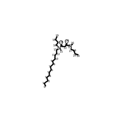 CCCCCCCCCCCCCC[N+](C)(CCCC)C(=O)CC(=O)N(C)CCCC